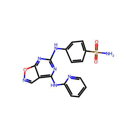 NS(=O)(=O)c1ccc(Nc2nc(Nc3ccccn3)c3cnoc3n2)cc1